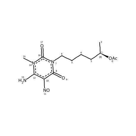 CC(=O)O[C@H](C)CCCCn1c(=O)c(N=O)c(N)n(C)c1=O